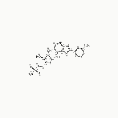 CC(C)(C)c1cccc(-c2cc3nccc(N[C@@H]4C[C@H](COS(N)(=O)=O)[C@@H](O)[C@H]4O)n3n2)c1